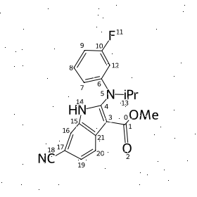 COC(=O)c1c(N(c2cccc(F)c2)C(C)C)[nH]c2cc(C#N)ccc12